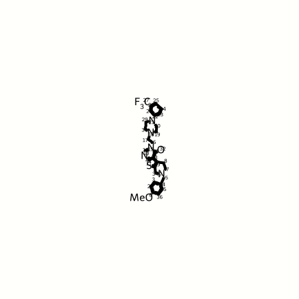 COc1ccc(CN2CCc3c(sc4ncn(CCN5CCN(c6cccc(C(F)(F)F)c6)CC5)c(=O)c34)C2)cc1